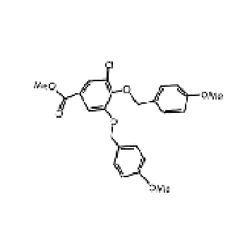 COC(=O)c1cc(Cl)c(OCc2ccc(OC)cc2)c(OCc2ccc(OC)cc2)c1